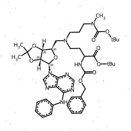 CN(CCCN(CCC(NC(=O)OCc1ccccc1)C(=O)OC(C)(C)C)C[C@H]1O[C@@H](n2cnc3c(Nc4ccccc4)ncnc32)[C@@H]2OC(C)(C)O[C@@H]21)C(=O)OC(C)(C)C